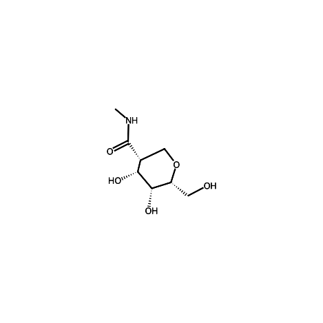 CNC(=O)[C@@H]1CO[C@H](CO)[C@H](O)[C@@H]1O